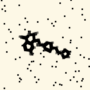 O=C1NC(=O)c2ccc(Br)cc2/C1=C\Nc1ccc(CCN2CCCC2)cc1